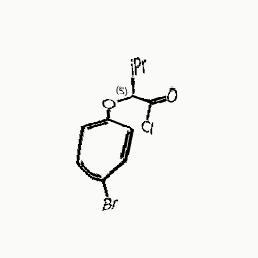 CC(C)[C@H](Oc1ccc(Br)cc1)C(=O)Cl